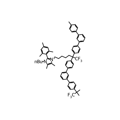 CCCCn1c(C)c(C)[n+](CCCCCC(c2ccc(-c3cccc(-c4ccc(C)cc4)c3)cc2)(c2ccc(-c3cccc(-c4ccc(C(C)(C)C(F)(F)F)cc4)c3)cc2)C(F)(F)F)c1-c1c(C)cc(C)cc1C